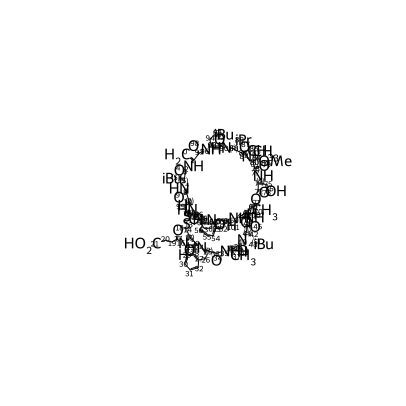 C=C1NC(=O)[C@H]([C@@H](C)CC)NC(=O)[C@@H]2CSSC[C@H](NC(=O)CCC(=O)O)C(=O)N[C@H](Cc3ccccc3)C(=O)N[C@H](C)C(=O)N[C@@H](C[C@@H](C)CC)C(=O)N[C@@H](C(=O)N[C@H](Cc3ccccc3)C(=O)N3CCC[C@H]3C(=O)N2)[C@@H](C)OC(=O)[C@H](CO)NC(=O)[C@H]([C@@H](C)OC)N(C)C(=O)[C@@H](C(C)C)NC(=O)[C@H](C[C@H](C)CC)NC1=O